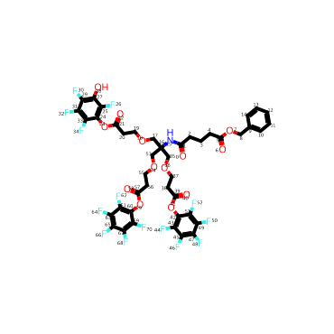 O=C(CCCC(=O)OCc1ccccc1)NC(COCCC(=O)Oc1c(F)c(O)c(F)c(F)c1F)(COCCC(=O)Oc1c(F)c(F)c(F)c(F)c1F)COCCC(=O)Oc1c(F)c(F)c(F)c(F)c1F